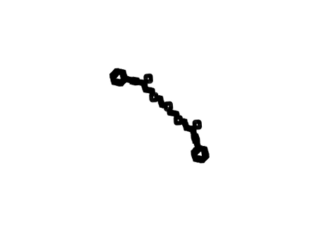 O=C(C#Cc1ccccc1)CCOCCOCCOCCC(=O)C#Cc1ccccc1